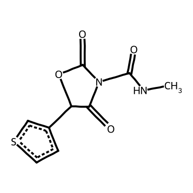 CNC(=O)N1C(=O)OC(c2ccsc2)C1=O